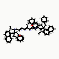 CN1/C(=C/C=C/C=C(/C=C/C=C/C2=[N+](C)c3ccc4ccccc4c3C2(Cc2ccccc2)Cc2ccccc2)Sc2ccccc2)C(Cc2ccccc2)(Cc2ccccc2)c2c1ccc1ccccc21